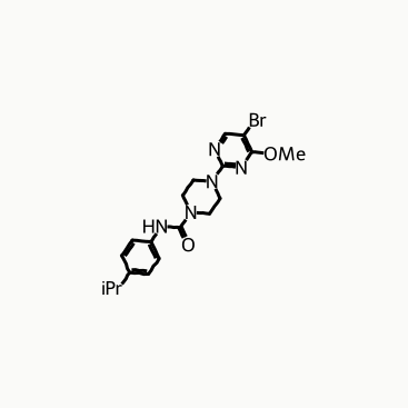 COc1nc(N2CCN(C(=O)Nc3ccc(C(C)C)cc3)CC2)ncc1Br